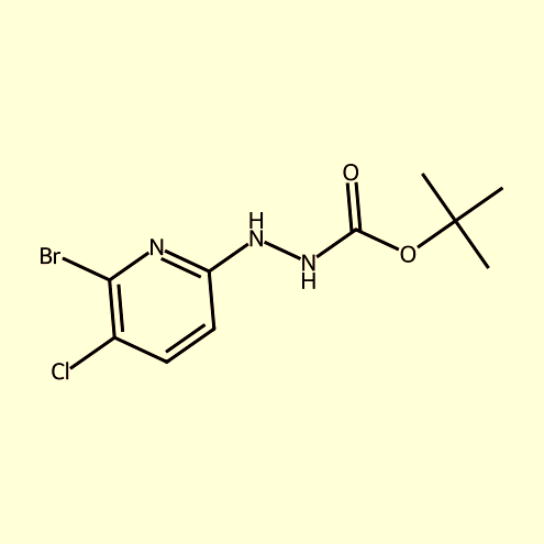 CC(C)(C)OC(=O)NNc1ccc(Cl)c(Br)n1